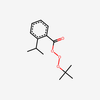 CC(C)c1ccccc1C(=O)OOOC(C)(C)C